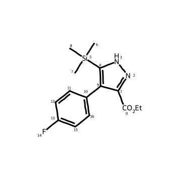 CCOC(=O)c1n[nH]c([Si](C)(C)C)c1-c1ccc(F)cc1